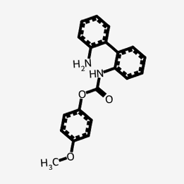 COc1ccc(OC(=O)Nc2ccccc2-c2ccccc2N)cc1